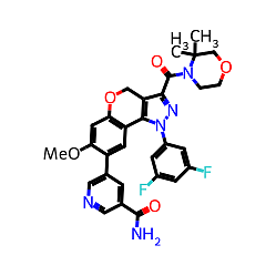 COc1cc2c(cc1-c1cncc(C(N)=O)c1)-c1c(c(C(=O)N3CCOCC3(C)C)nn1-c1cc(F)cc(F)c1)CO2